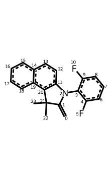 C=C1N(c2c(F)cccc2F)c2ccc3ccccc3c2C1(C)C